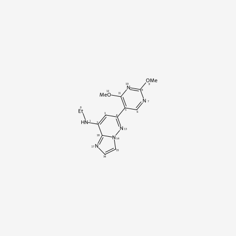 CCNc1cc(-c2cnc(OC)nc2OC)nn2ccnc12